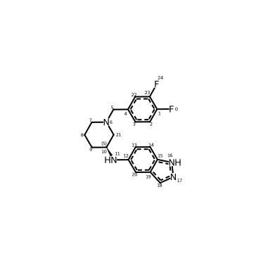 Fc1ccc(CN2CCC[C@H](Nc3ccc4[nH]ncc4c3)C2)cc1F